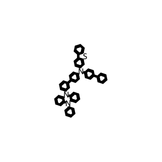 c1ccc(-c2ccc(N(c3ccc(-c4cccc(N5c6ccccc6N(c6ccccc6)c6ccccc65)c4)cc3)c3ccc4c(c3)sc3ccccc34)cc2)cc1